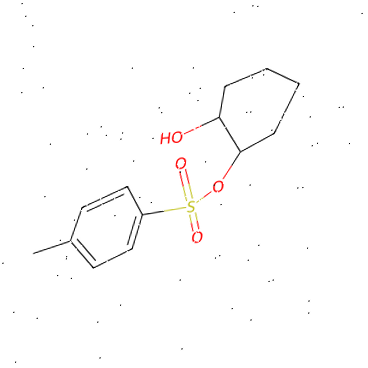 Cc1ccc(S(=O)(=O)OC2CCCCC2O)cc1